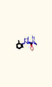 CNC(=O)Nc1ccccc1C